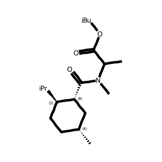 CCC(C)OC(=O)C(C)N(C)C(=O)[C@@H]1C[C@H](C)CC[C@H]1C(C)C